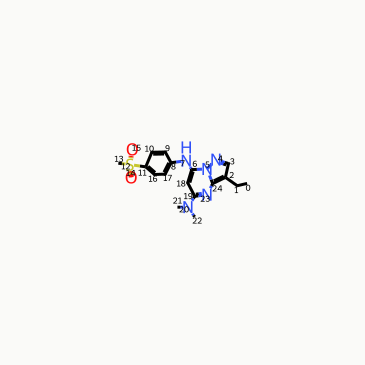 CCc1cnn2c(Nc3ccc(S(C)(=O)=O)cc3)cc(N(C)C)nc12